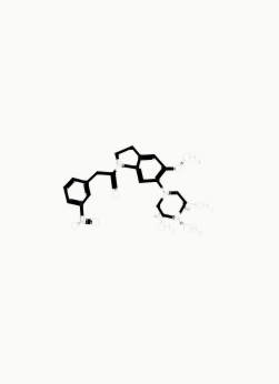 COc1cc2c(cc1N1C[C@@H](C)N(C)[C@@H](C)C1)N(C(=O)Cc1cccc([N+](=O)[O-])c1)CC2